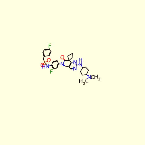 CN(C)C1CCC(Nc2ncc3c(n2)C2(CCC2)C(=O)N(c2ccc(NS(=O)(=O)Cc4ccc(F)cc4)c(F)c2)C3)CC1